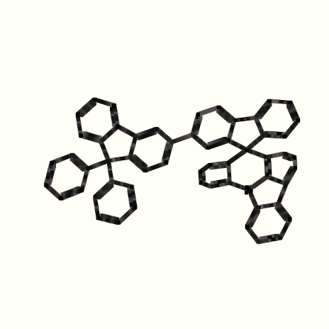 c1ccc(C2(c3ccccc3)c3ccccc3-c3cc(-c4ccc5c(c4)C4(c6ccccc6-5)c5ccccc5-n5c6ccccc6c6cccc4c65)ccc32)cc1